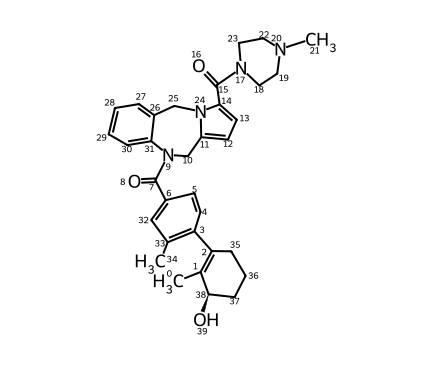 CC1=C(c2ccc(C(=O)N3Cc4ccc(C(=O)N5CCN(C)CC5)n4Cc4ccccc43)cc2C)CCC[C@H]1O